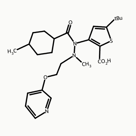 CC1CCC(C(=O)N(c2cc(C(C)(C)C)sc2C(=O)O)N(C)CCOc2cccnc2)CC1